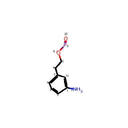 Nc1cccc(CCOP=O)c1